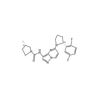 C[C@H]1CCN(C(=O)Nc2cnn3ccc(N4CCC[C@@H]4c4cc(F)ccc4F)nc23)C1